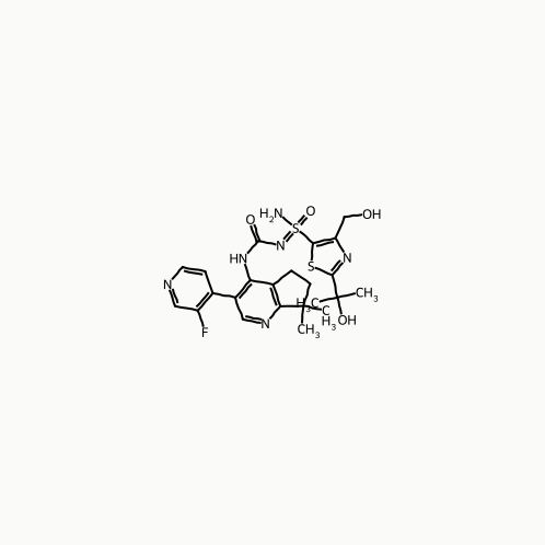 CC(C)(O)c1nc(CO)c(S(N)(=O)=NC(=O)Nc2c(-c3ccncc3F)cnc3c2CCC3(C)C)s1